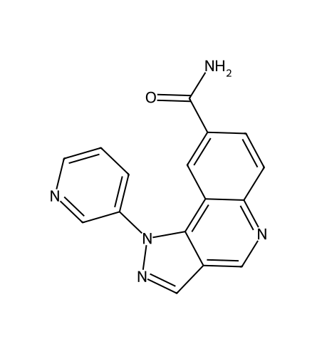 NC(=O)c1ccc2ncc3cnn(-c4cccnc4)c3c2c1